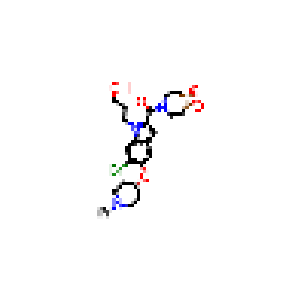 CC(C)N1CCC(Oc2cc3cc(C(=O)N4CCS(=O)(=O)CC4)n(CCCO)c3cc2Br)CC1